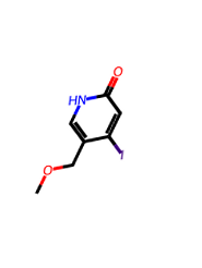 COCc1c[nH]c(=O)cc1I